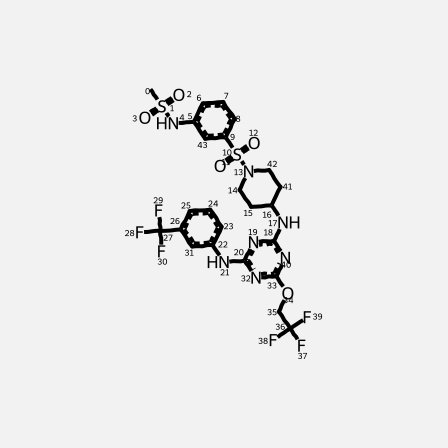 CS(=O)(=O)Nc1cccc(S(=O)(=O)N2CCC(Nc3nc(Nc4cccc(C(F)(F)F)c4)nc(OCC(F)(F)F)n3)CC2)c1